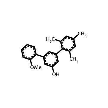 COc1ccccc1-c1cc(O)cc(-c2c(C)cc(C)cc2C)c1